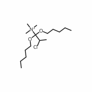 CCCCCOC(OCCCCC)(C(C)Cl)[N+](C)(C)C